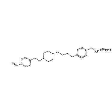 C=Cc1ccc(CCC2CCC(CCCCc3ccc(COCCCCC)cc3)CC2)cc1